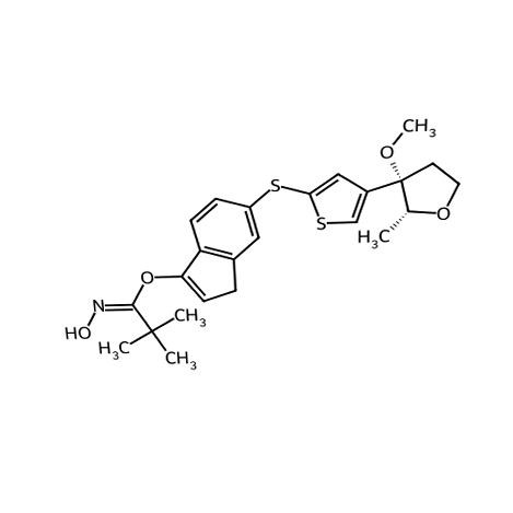 CO[C@]1(c2csc(Sc3ccc4c(c3)CC=C4O/C(=N/O)C(C)(C)C)c2)CCO[C@@H]1C